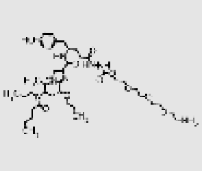 CCCCC(=O)N(CCC)C(C[C@@H](OCCC)c1nc(C(=O)N[C@H](CCC(=O)NNC(=O)OCCOCCOCCOCCN)Cc2ccc(O)cc2)cs1)C(C)C